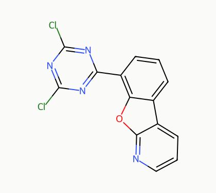 Clc1nc(Cl)nc(-c2cccc3c2oc2ncccc23)n1